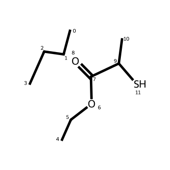 CCCC.CCOC(=O)C(C)S